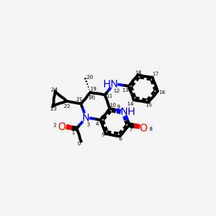 CC(=O)N1c2ccc(=O)[nH]c2C(Nc2ccccc2)[C@@H](C)C1C1CC1